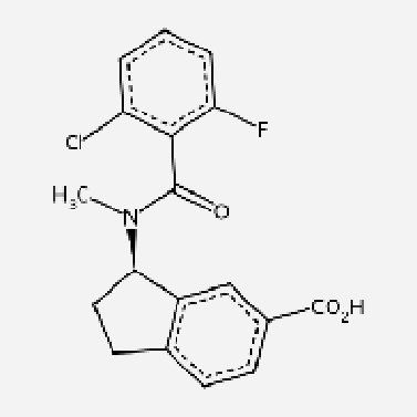 CN(C(=O)c1c(F)cccc1Cl)[C@@H]1CCc2ccc(C(=O)O)cc21